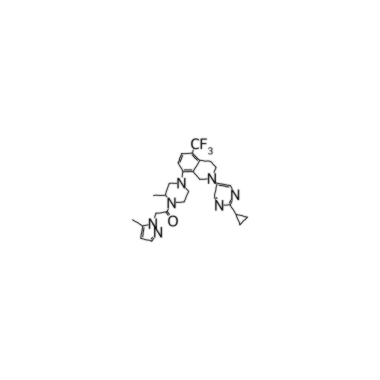 Cc1ccnn1CC(=O)N1CCN(c2ccc(C(F)(F)F)c3c2CN(c2cnc(C4CC4)nc2)CC3)CC1C